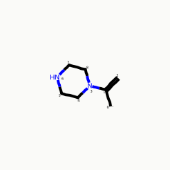 [CH2]C(=C)N1CCNCC1